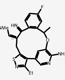 CCc1nsc2c1-c1cnc(N)c(c1)OC(C)c1cc(F)ccc1C(=N)/C(=C\NC)C2